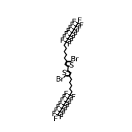 FC(F)(F)C(F)(F)C(F)(F)C(F)(F)C(F)(F)C(F)(F)C(F)(F)CCCCCc1cc(-c2cc(CCCCCC(F)(F)C(F)(F)C(F)(F)C(F)(F)C(F)(F)C(F)(F)C(F)(F)F)c(Br)s2)sc1Br